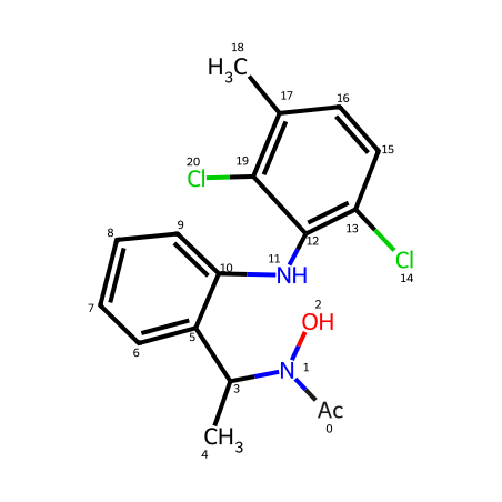 CC(=O)N(O)C(C)c1ccccc1Nc1c(Cl)ccc(C)c1Cl